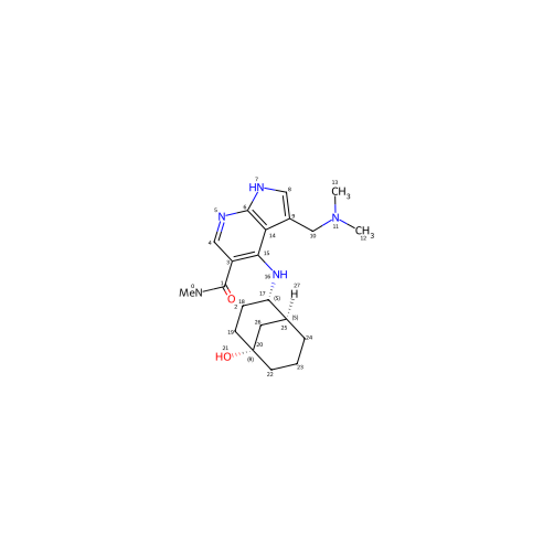 CNC(=O)c1cnc2[nH]cc(CN(C)C)c2c1N[C@H]1CC[C@]2(O)CCC[C@H]1C2